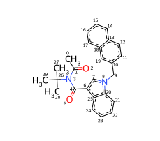 CC(=O)N(C(=O)c1cn(Cc2ccc3ccccc3c2)c2ccccc12)C(C)(C)C